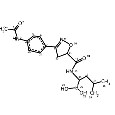 CC(=O)Nc1ccc(C2=NOC(C(=O)NC(CC(C)C)B(O)O)C2)cc1